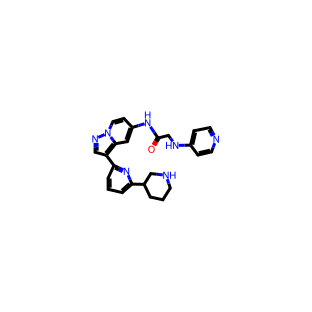 O=C(CNc1ccncc1)Nc1ccn2ncc(-c3cccc(C4CCCNC4)n3)c2c1